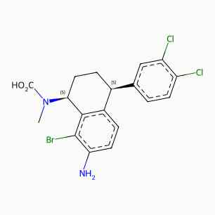 CN(C(=O)O)[C@H]1CC[C@@H](c2ccc(Cl)c(Cl)c2)c2ccc(N)c(Br)c21